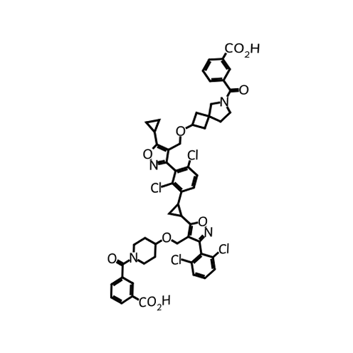 O=C(O)c1cccc(C(=O)N2CCC(OCc3c(-c4c(Cl)cccc4Cl)noc3C3CC3c3ccc(Cl)c(-c4noc(C5CC5)c4COC4CC5(CCN(C(=O)c6cccc(C(=O)O)c6)C5)C4)c3Cl)CC2)c1